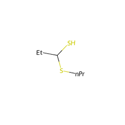 CCCSC(S)CC